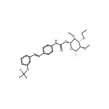 CCO[C@@H]1[C@@H](OC)[C@H](C)O[C@@H](OC(=O)Nc2ccc(/N=N/c3cccc(OC(F)(F)F)c3)cc2)[C@@H]1OC